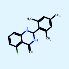 C=C1NC(c2c(C)cc(C)cc2C)Nc2cccc(Cl)c21